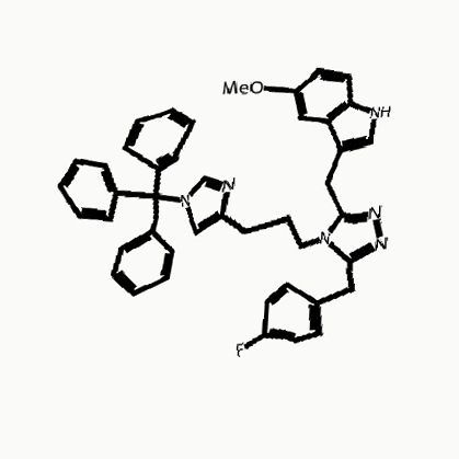 COc1ccc2[nH]cc(Cc3nnc(Cc4ccc(F)cc4)n3CCCc3cn(C(c4ccccc4)(c4ccccc4)c4ccccc4)cn3)c2c1